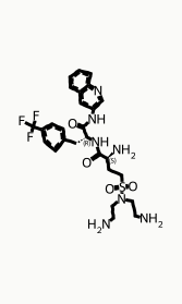 NCCN(CCN)S(=O)(=O)CC[C@H](N)C(=O)N[C@H](Cc1ccc(C(F)(F)F)cc1)C(=O)Nc1cnc2ccccc2c1